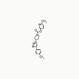 Cc1ccc(OC(=O)N2CCC(n3cc(-c4ccc(C(F)(F)F)cc4)nn3)CC2)cn1